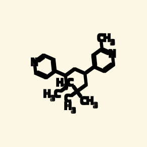 CCC(CC(CC(C)(C)C)c1ccnc(C)c1)c1ccncc1